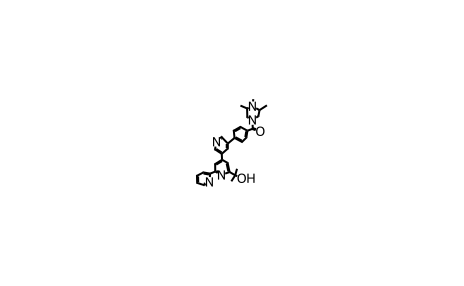 CC1CN(C(=O)c2ccc(-c3cncc(-c4cc(-c5ccccn5)nc(C(C)(C)O)c4)c3)cc2)CC(C)N1C